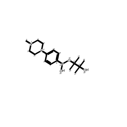 CN1CCN(c2ccc(B(O)OC(C)(C)C(C)(C)O)cc2)CC1